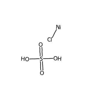 O=S(=O)(O)O.[Cl][Ni]